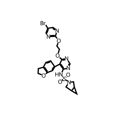 O=S(=O)(Nc1ncnc(OCCOc2ncc(Br)cn2)c1-c1ccc2c(c1)OCC2)N1CC2CC2C1